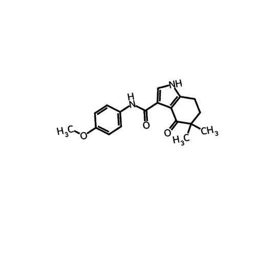 COc1ccc(NC(=O)c2c[nH]c3c2C(=O)C(C)(C)CC3)cc1